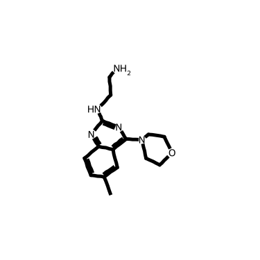 Cc1ccc2nc(NCCN)nc(N3CCOCC3)c2c1